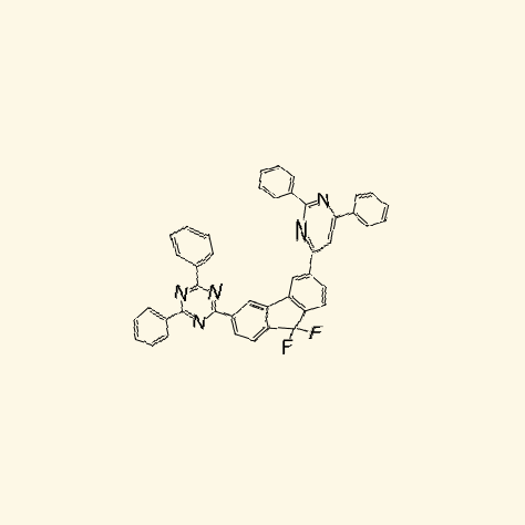 FC1(F)c2ccc(-c3cc(-c4ccccc4)nc(-c4ccccc4)n3)cc2-c2cc(-c3nc(-c4ccccc4)nc(-c4ccccc4)n3)ccc21